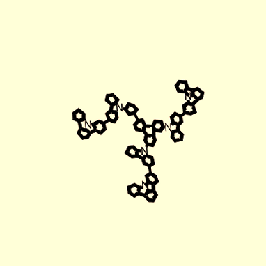 c1cc(-c2ccc3c(c2)c2ccc(-n4c5ccccc5c5cc(-c6ccc7c8cccc9c%10ccccc%10n(c7c6)c98)ccc54)cc2c2ccc(-n4c5ccccc5c5cc(-c6ccc7c8cccc9c%10ccccc%10n(c7c6)c98)ccc54)cc32)cc(-n2c3ccccc3c3cc(-c4ccc5c6cccc7c8ccccc8n(c5c4)c76)ccc32)c1